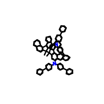 CC1(C2(C)c3ccc4ccccc4c3-c3c2cc(N(c2ccc(-c4ccccc4)cc2)c2ccc(-c4ccccc4)cc2)c2ccccc32)c2ccc3ccccc3c2-c2c1cc(N(c1ccc(-c3ccccc3)cc1)c1ccc(-c3ccccc3)cc1)c1ccccc21